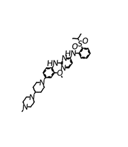 COc1cc(N2CCC(N3CCN(C)CC3)CC2)ccc1Nc1nccc(Nc2ccccc2S(=O)(=O)C(C)C)n1